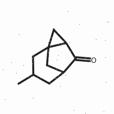 CC1CC2CC3(C1)CC3C2=O